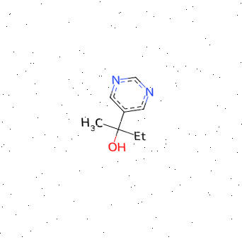 CCC(C)(O)c1cncnc1